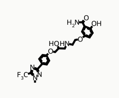 Cn1nc(-c2ccc(OCC(O)CNCCOc3ccc(O)c(C(N)=O)c3)cc2)nc1C(F)(F)F